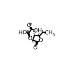 CCC1CCC(=O)O1.O=C(O)C(=O)O